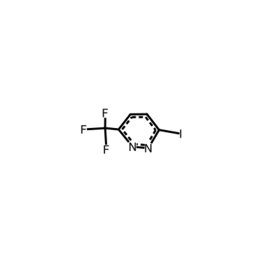 FC(F)(F)c1ccc(I)nn1